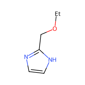 CCOCc1ncc[nH]1